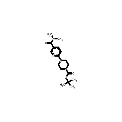 CN(C)C(=O)c1ccc(N2CCN(C(=O)OC(C)(C)C)CC2)nc1